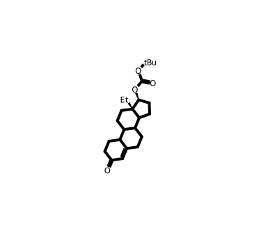 CC[C@]12CCC3C4CCC(=O)C=C4CCC3C1CC[C@@H]2OC(=O)OC(C)(C)C